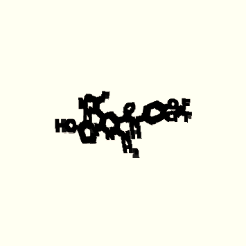 Nc1nc(N2CC[C@H](O)C2)c(-c2[nH]ncc2F)cc1C(=O)Nc1ccc(OC(F)(F)Cl)cc1